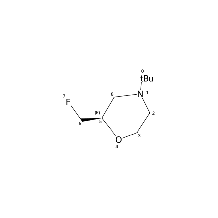 CC(C)(C)N1CCO[C@@H](CF)C1